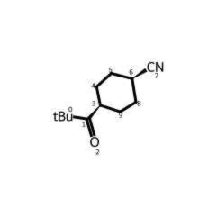 CC(C)(C)C(=O)[C@H]1CC[C@@H](C#N)CC1